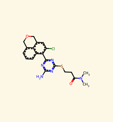 CN(C)C(=O)CCSc1nc(N)nc(-c2c(Cl)cc3c4c(cccc24)COC3)n1